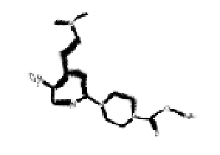 CN(C)C=Cc1cc(N2CCN(C(=O)OC(C)(C)C)CC2)ncc1[N+](=O)[O-]